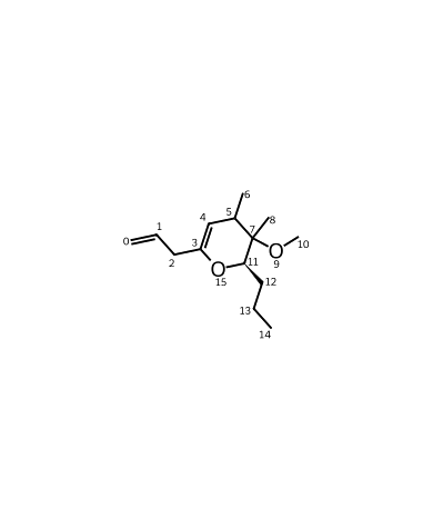 C=CCC1=CC(C)C(C)(OC)[C@@H](CCC)O1